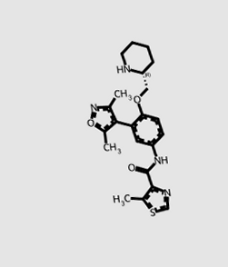 Cc1noc(C)c1-c1cc(NC(=O)c2ncsc2C)ccc1OC[C@H]1CCCCN1